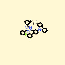 Fc1cc(F)cc(-c2ccc(-n3c4ccccc4c4ccc(C(F)(F)F)cc43)cc2-c2nc(-c3ccccc3)nc(-c3ccccc3)n2)c1